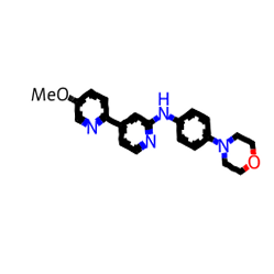 COc1ccc(-c2ccnc(Nc3ccc(N4CCOCC4)cc3)c2)nc1